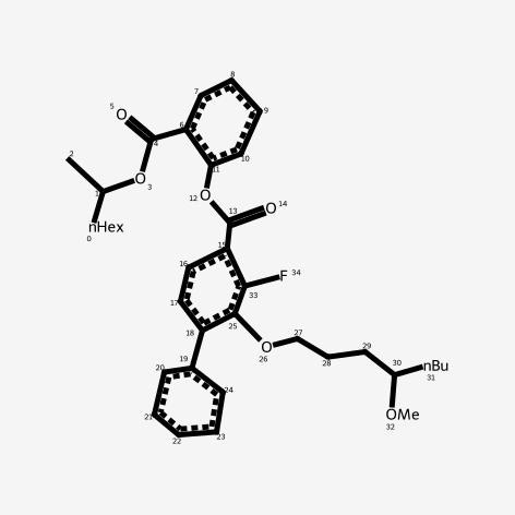 CCCCCCC(C)OC(=O)c1ccccc1OC(=O)c1ccc(-c2ccccc2)c(OCCCC(CCCC)OC)c1F